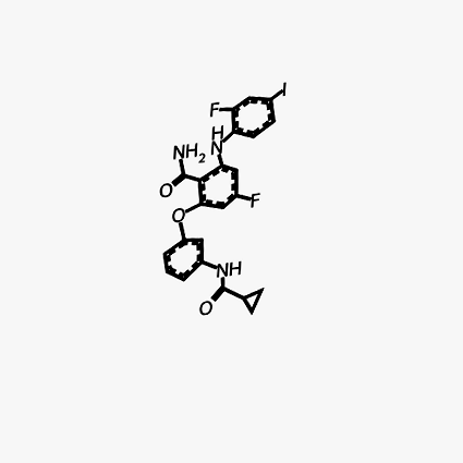 NC(=O)c1c(Nc2ccc(I)cc2F)cc(F)cc1Oc1cccc(NC(=O)C2CC2)c1